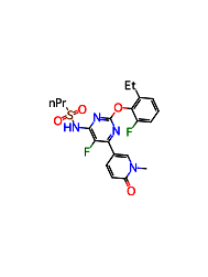 CCCS(=O)(=O)Nc1nc(Oc2c(F)cccc2CC)nc(-c2ccc(=O)n(C)c2)c1F